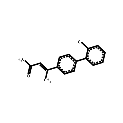 CC(=O)/C=C(\C)c1ccc(-c2ccccc2Cl)cc1